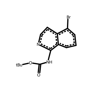 CC(C)(C)OC(=O)Nc1nccc2c(Br)cccc12